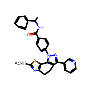 CC(=O)Nc1nc2c(s1)-c1c(c(-c3cccnc3)nn1-c1ccc(C(=O)NC(C)c3ccccc3)cc1)CC2